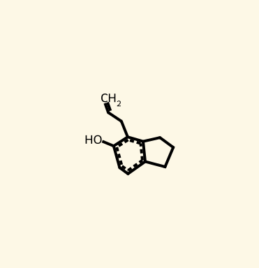 C=CCc1c(O)ccc2c1CCC2